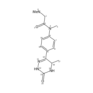 CNCC(=O)N(C)c1ccc(C2=NNC(=O)NC2C)cc1